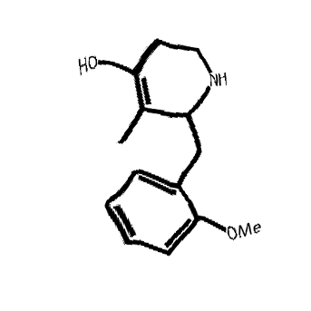 COc1ccccc1CC1NCCC(O)=C1C